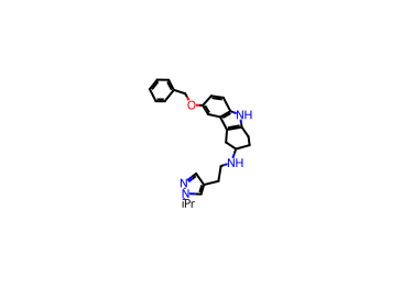 CC(C)n1cc(CCNC2CCc3[nH]c4ccc(OCc5ccccc5)cc4c3C2)cn1